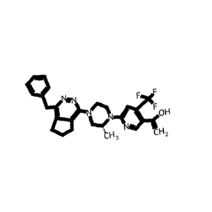 C=C(O)c1cnc(N2CCN(c3nnc(Cc4ccccc4)c4c3CCC4)C[C@H]2C)cc1C(F)(F)F